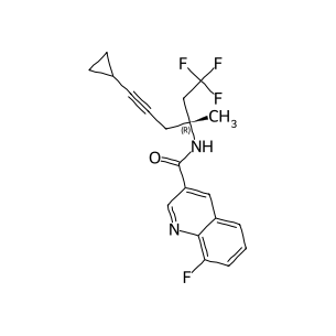 C[C@@](CC#CC1CC1)(CC(F)(F)F)NC(=O)c1cnc2c(F)cccc2c1